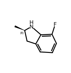 C[C@@H]1Cc2cccc(F)c2N1